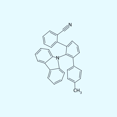 Cc1ccc(-c2cccc(-c3ccccc3C#N)c2-n2c3ccccc3c3ccccc32)cc1